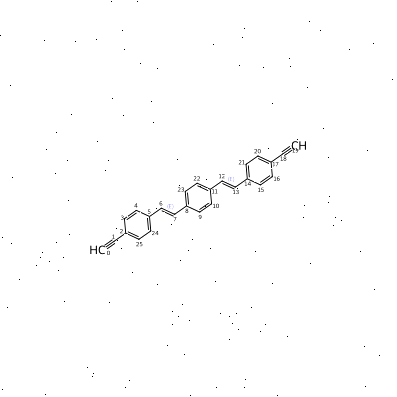 C#Cc1ccc(/C=C/c2ccc(/C=C/c3ccc(C#C)cc3)cc2)cc1